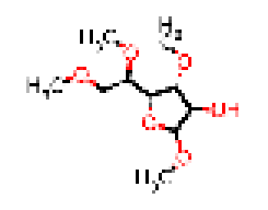 COC[C@@H](OC)[C@H]1O[C@H](OC)[C@H](O)[C@H]1OC